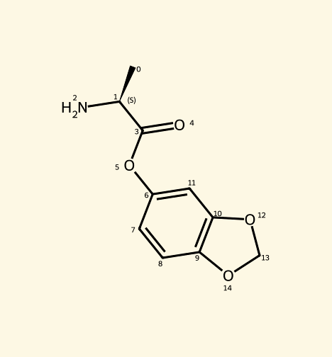 C[C@H](N)C(=O)Oc1ccc2c(c1)OCO2